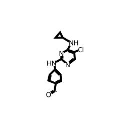 O=[C]c1ccc(Nc2ncc(Cl)c(NC3CC3)n2)cc1